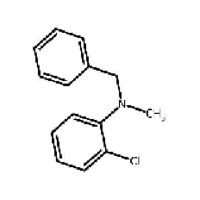 CN(Cc1ccccc1)c1ccccc1Cl